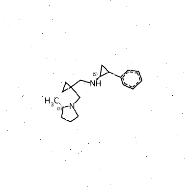 C[C@H]1CCCN1CC1(CN[C@H]2CC2c2ccccc2)CC1